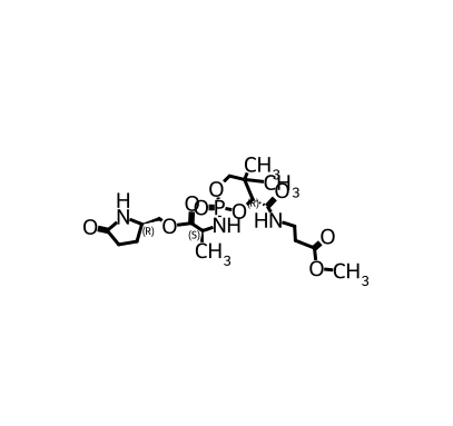 COC(=O)CCNC(=O)[C@@H]1OP(=O)(N[C@@H](C)C(=O)OC[C@H]2CCC(=O)N2)OCC1(C)C